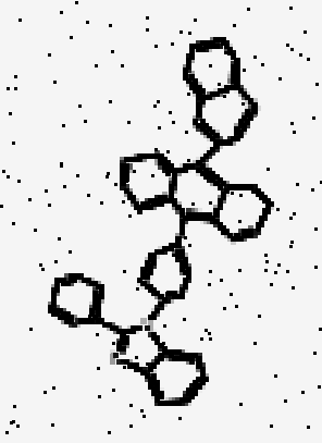 C1=Cc2c(c(-c3ccc4ccccc4c3)c3ccccc3c2-c2ccc(-n3c(-c4ccccc4)nc4ccccc43)cc2)CC1